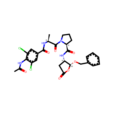 CC(=O)Nc1c(Cl)cc(C(=O)N[C@@H](C)C(=O)N2CCC[C@H]2C(=O)N[C@H]2CC(=O)O[C@H]2OCc2ccccc2)cc1Cl